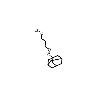 [CH2]COCCCOOC12CC3CC(CC(C3)C1)C2